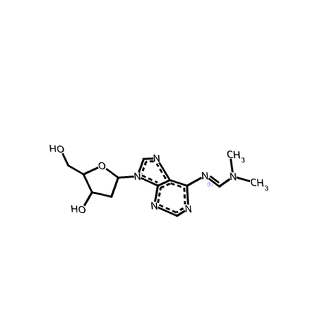 CN(C)/C=N/c1ncnc2c1ncn2C1CC(O)C(CO)O1